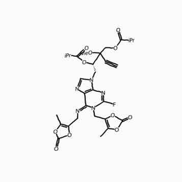 C#CC(COC(=O)C(C)C)(OC)[C@H](Cn1cnc2/c(=N/Cc3oc(=O)oc3C)n(Cc3oc(=O)oc3C)c(F)nc21)OC(=O)C(C)C